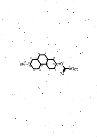 CCCCCCCCC(=O)O[C@H]1CCC2C(CCC3C[C@@H](CCC)CCC32)C1